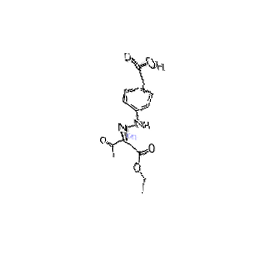 CCOC(=O)/C(=N\Nc1ccc(C(=O)O)cc1)C(C)=O